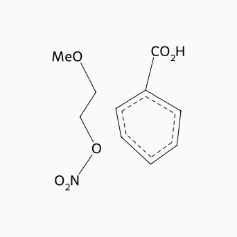 COCCO[N+](=O)[O-].O=C(O)c1ccccc1